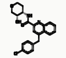 O=C(N[C@H]1CCOC[C@H]1O)c1cc(Cc2ccc(Cl)cc2)c2ccccc2n1